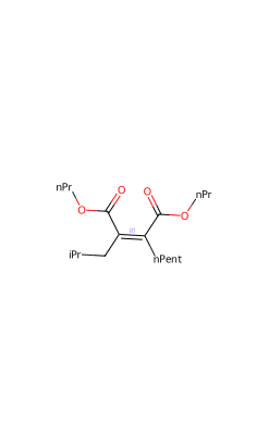 CCCCC/C(C(=O)OCCC)=C(\CC(C)C)C(=O)OCCC